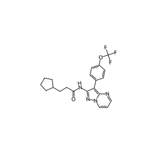 O=C(CCC1CCCC1)Nc1nn2cccnc2c1-c1ccc(OC(F)(F)F)cc1